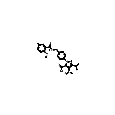 COc1ccc(F)cc1C(=O)NCc1ccc(-n2nc(C(C)C)c(N(C)C)c2C(N)=O)cc1